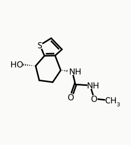 CONC(=O)N[C@@H]1CC[C@H](O)c2sccc21